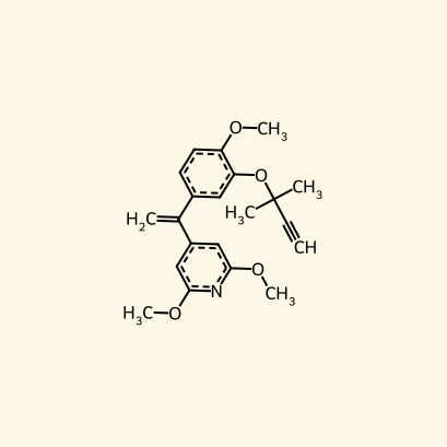 C#CC(C)(C)Oc1cc(C(=C)c2cc(OC)nc(OC)c2)ccc1OC